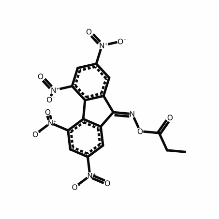 CCC(=O)ON=C1c2cc([N+](=O)[O-])cc([N+](=O)[O-])c2-c2c1cc([N+](=O)[O-])cc2[N+](=O)[O-]